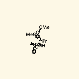 COCCCOc1cc(CC(C[C@@H]2CNC[C@H]2CN(C(=O)Cc2ccccc2)C2CC2)C(C)C)ccc1OC